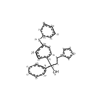 OC(CCn1ccnc1)(c1ccccc1)c1ccc(Sc2ccccc2)cc1